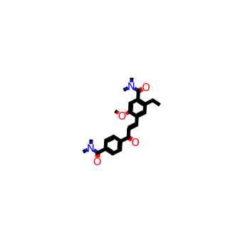 CCc1cc(C=CC(=O)c2ccc(C(=O)N(C)C)cc2)c(OC)cc1C(=O)N(C)C